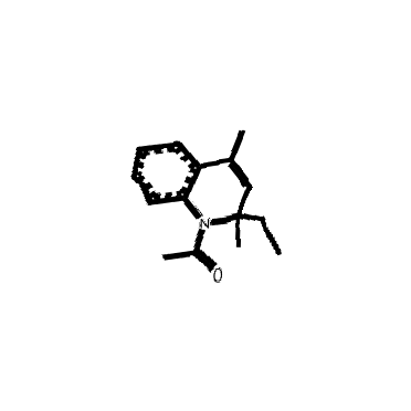 CCC1(C)C=C(C)c2ccccc2N1C(C)=O